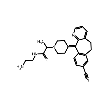 CC(C(=O)NCCN)N1CCC(=C2c3ccc(C#N)cc3CCc3cccnc32)CC1